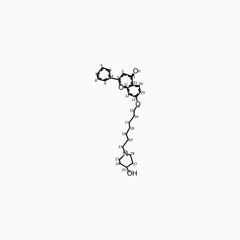 O=c1cc(-c2ccccc2)oc2cc(OCCCCCCCN3CCC(O)CC3)ccc12